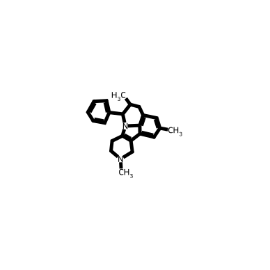 Cc1cc2c3c(c1)c1c(n3C(c3ccccc3)C(C)C2)CCN(C)C1